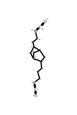 O=C=NCCCC1CC2CC1CC2CCN=C=O